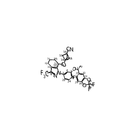 C[C@H](Oc1cc(-n2nc(C(F)(F)F)c3c2C(OC24CC(C#N)(C2)C4)CCC3)ccc1F)c1ccc2c(c1)OC(F)(F)O2